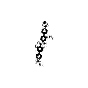 Cc1cc(NC(=O)c2c(F)cc(C3=CCN(C(=O)OC(C)(C)C)CC3)cc2F)ccc1C1=CCN(C(=O)OC(C)(C)C)CC1